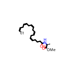 CC/C=C\C/C=C\C/C=C\C/C=C\C/C=C\CCCC(O)N[C@@H](C)C(=O)OC